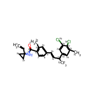 C=CC1(NC(=O)c2ccc(/C=C/C(c3cc(C)c(Cl)c(Cl)c3)C(F)(F)F)cc2C)CC1